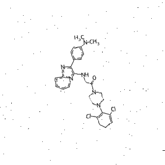 CN(C)c1ccc(-c2nc3ccccn3c2NCC(=O)N2CCN(C3=C(Cl)CCC=C3Cl)CC2)cc1